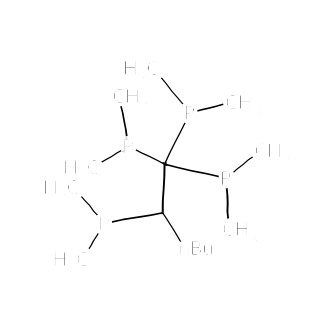 CCCCC(P(C)C)C(P(C)C)(P(C)C)P(C)C